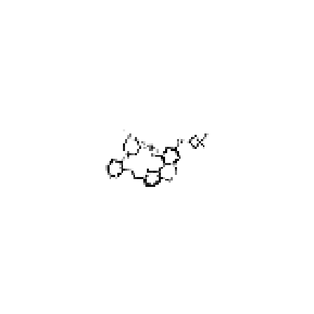 C[C@@H]1C[C@H](N)CN(c2ccncc2CCc2ccc(F)c(-c3c(F)cc(OC4CC(F)(F)C4)cc3F)n2)C1